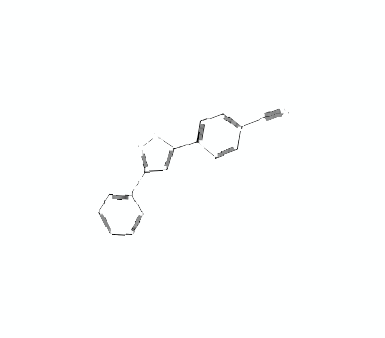 N#Cc1ccc(-c2cc(-c3ccccc3)n[nH]2)cc1